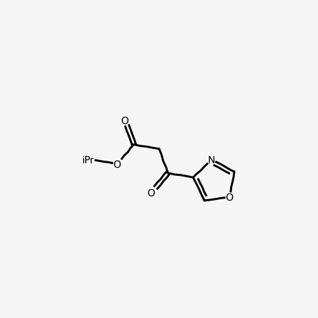 CC(C)OC(=O)CC(=O)c1cocn1